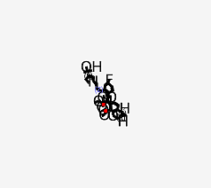 COC(=O)c1c(N(C(=O)OC)S(=O)(=O)c2ccc(F)cc2/C=C\CN2CC[C@H](C(C)(C)O)C2)ccc2c1OC[C@@H]1C[C@H]21